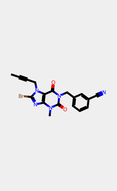 CC#CCn1c(Br)nc2c1c(=O)n(Cc1cccc(C#N)c1)c(=O)n2C